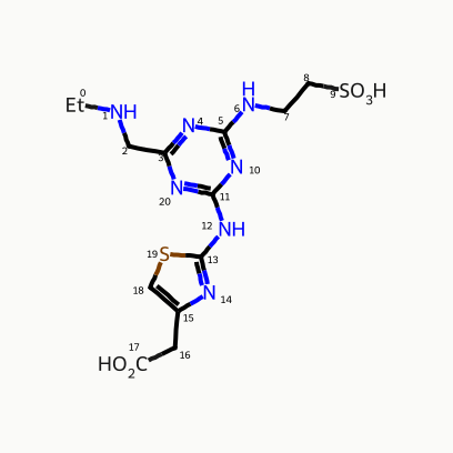 CCNCc1nc(NCCS(=O)(=O)O)nc(Nc2nc(CC(=O)O)cs2)n1